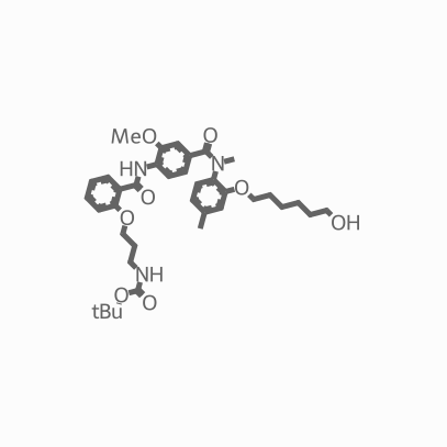 COc1cc(C(=O)N(C)c2ccc(C)cc2OCCCCCCO)ccc1NC(=O)c1ccccc1OCCCNC(=O)OC(C)(C)C